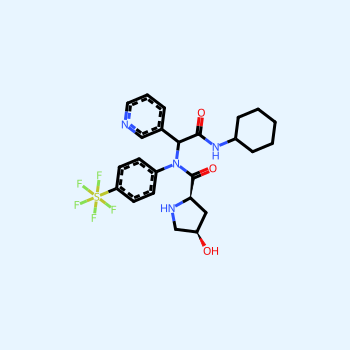 O=C(NC1CCCCC1)C(c1cccnc1)N(C(=O)[C@H]1C[C@@H](O)CN1)c1ccc(S(F)(F)(F)(F)F)cc1